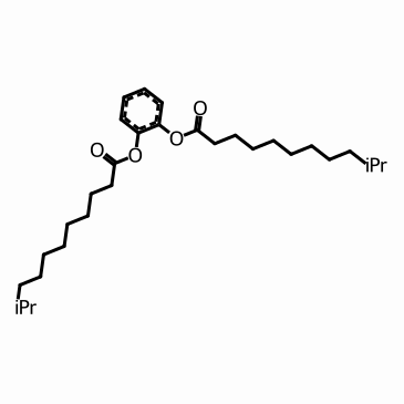 CC(C)CCCCCCCCC(=O)Oc1ccccc1OC(=O)CCCCCCCCC(C)C